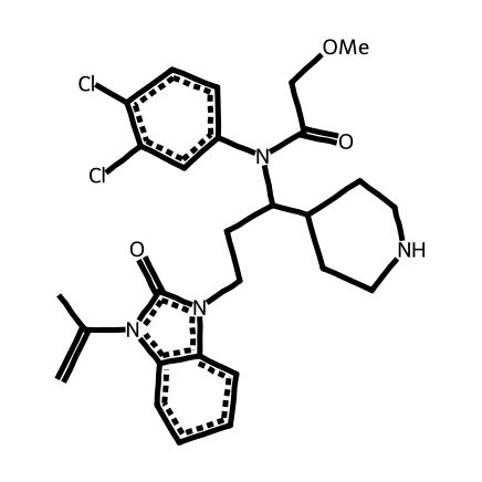 C=C(C)n1c(=O)n(CCC(C2CCNCC2)N(C(=O)COC)c2ccc(Cl)c(Cl)c2)c2ccccc21